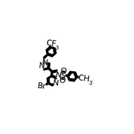 Cc1ccc(S(=O)(=O)n2cc(-c3cnn(Cc4cccc(C(F)(F)F)c4)c3)c3cc(Br)cnc32)cc1